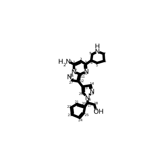 Nc1cc(C2CCCNC2)nc2c(-c3cnn(C(CO)c4ccccc4)c3)cnn12